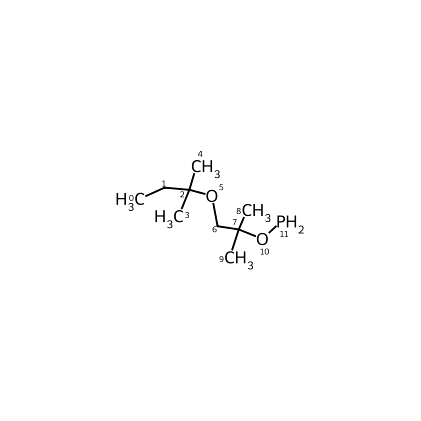 CCC(C)(C)OCC(C)(C)OP